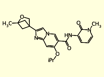 CC(C)Oc1cc2nc(C34COC(C)(C3)C4)cn2cc1C(=O)Nc1cccn(C)c1=O